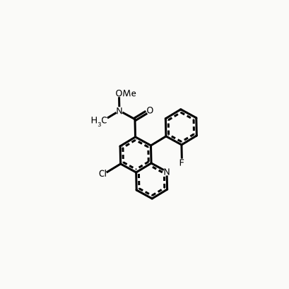 CON(C)C(=O)c1cc(Cl)c2cccnc2c1-c1ccccc1F